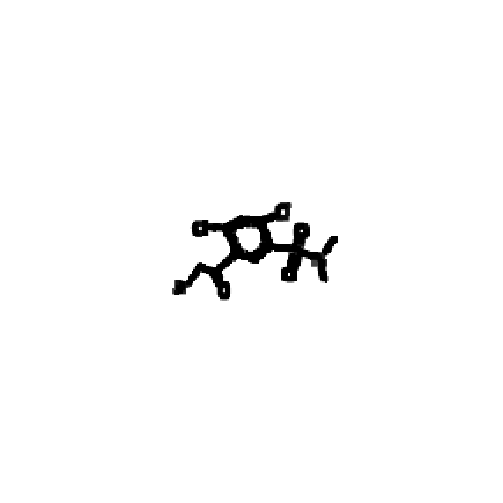 CN(C)S(=O)(=O)c1cc(C(=O)CBr)c(Cl)cc1Cl